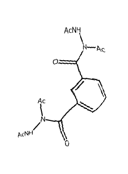 CC(=O)NN(C(C)=O)C(=O)c1cccc(C(=O)N(NC(C)=O)C(C)=O)c1